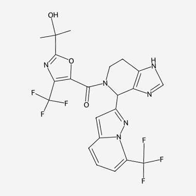 CC(C)(O)c1nc(C(F)(F)F)c(C(=O)N2CCc3[nH]cnc3C2c2cc3cccc(C(F)(F)F)n3n2)o1